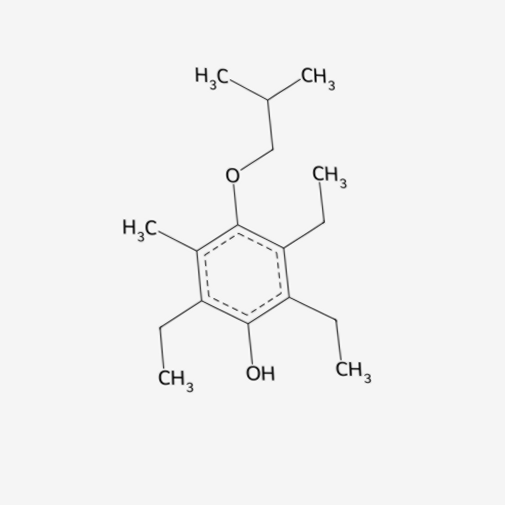 CCc1c(C)c(OCC(C)C)c(CC)c(CC)c1O